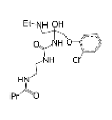 CCNCC(O)(COc1ccccc1Cl)NC(=O)NCCNC(=O)C(C)C